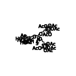 CC(=O)OC[C@@H]1S[C@H](CCCOCC(CN=C=S)(COCCC[C@H]2S[C@@H](COC(C)=O)[C@@H](OC(C)=O)[C@H](OC(C)=O)[C@@H]2OC(C)=O)COCCC[C@H]2S[C@@H](C(O)C(C)=O)[C@](O)(C(C)=O)[C@@](O)(C(C)=O)[C@]2(O)C(C)=O)[C@@H](OC(C)=O)[C@@H](OC(C)=O)[C@@H]1OC(C)=O